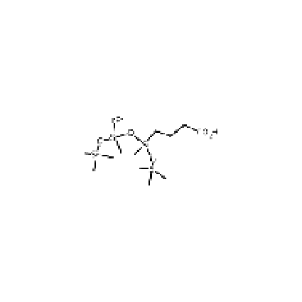 CCC[Si](C)(O[Si](C)(C)C)O[Si](C)(CCCC(=O)O)O[Si](C)(C)C